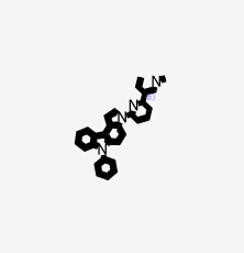 C=C/C(=C\N=C)C1CC=CC(n2ccc3c4c5ccccc5n(-c5ccccc5)c4ccc32)=N1